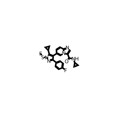 O=C(NC1CC1)c1cnc2ccc(-c3c(-c4ccc(F)cc4)nn(SF)c3C3CC3)cn12